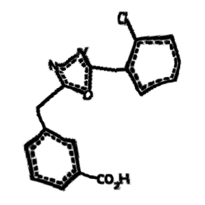 O=C(O)c1cccc(Cc2nnc(-c3ccccc3Cl)o2)c1